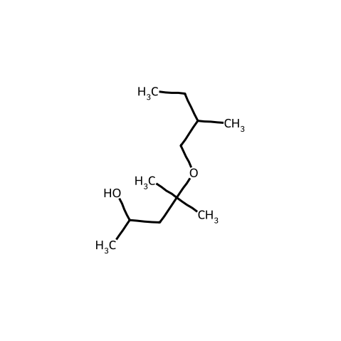 CCC(C)COC(C)(C)CC(C)O